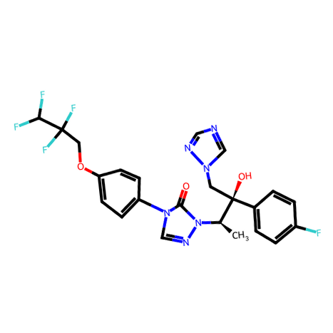 C[C@@H](n1ncn(-c2ccc(OCC(F)(F)C(F)F)cc2)c1=O)[C@](O)(Cn1cncn1)c1ccc(F)cc1